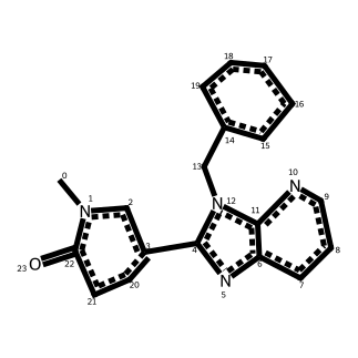 Cn1cc(-c2nc3cccnc3n2Cc2ccccc2)ccc1=O